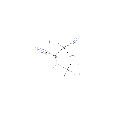 CC(C)(C#N)/C(C#N)=[N+](/[O-])C(C)(C)C